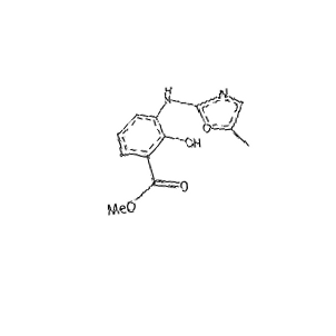 COC(=O)c1cccc(Nc2ncc(C)o2)c1O